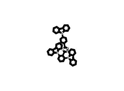 c1cc(-n2c3ccccc3c3ccccc32)c(-c2nnc(-c3ccc(-n4c5ccccc5c5ccccc54)cc3)o2)c(-n2c3ccccc3c3ccccc32)c1